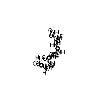 COc1ccc(NS(=O)(=O)CC2C(=O)Nc3ccc(Nc4ncc(C(F)(F)F)c(NCC5CNC(=O)CO5)n4)cc32)cc1CNc1nc(Nc2ccc3c(c2)CC(=O)N3)ncc1C(F)(F)F